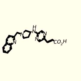 O=C(O)/C=C/c1cnc(N[C@@H]2CCN(Cc3ccc4ccccc4n3)C2)cn1